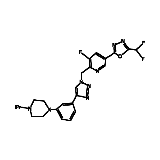 CC(C)N1CCN(c2cccc(-c3cn(Cc4ncc(-c5nnc(C(F)F)o5)cc4F)nn3)c2)CC1